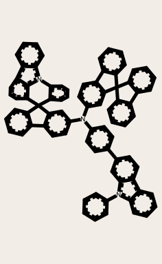 c1ccc(-n2c3ccccc3c3ccc(-c4ccc(N(c5ccc6c(c5)C5(c7ccccc7-c7ccccc75)c5ccccc5-6)c5ccc6c(c5)C5(c7ccccc7-6)c6ccccc6-n6c7ccccc7c7cccc5c76)cc4)cc32)cc1